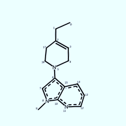 CCC1=CCN(c2cn(C)c3ncccc23)CC1